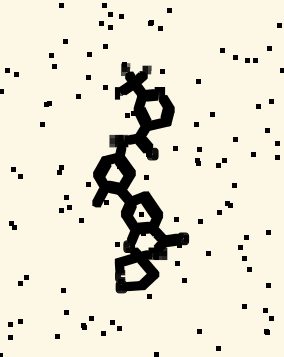 Cc1ccc(NC(=O)c2ccnc(C(F)(F)F)c2)cc1-c1ccc2c(c1)OC1(CCOCC1)NC2=O